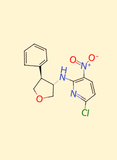 O=[N+]([O-])c1ccc(Cl)nc1N[C@@H]1COC[C@H]1c1ccccc1